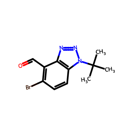 CC(C)(C)n1nnc2c(C=O)c(Br)ccc21